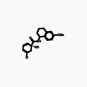 COc1ccc2c(c1)CCCC2NC(=O)[C@]1(O)C=CC=C(Cl)C1